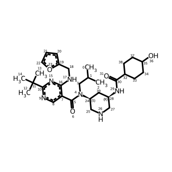 CC(C)CN(C(=O)c1cnc(C(C)(C)C)nc1NCc1ccco1)[C@@H]1CNC[C@H](NC(=O)C2CCC(O)CC2)C1